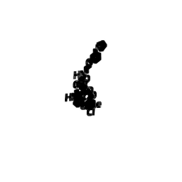 COc1ccc2[nH]c(C)c(C(C(=O)OC(=O)c3ccc(Cl)cc3)C(C)CS(=O)(=O)CC(=O)NCCCOc3cccc(CN4CCCC4)c3)c2c1